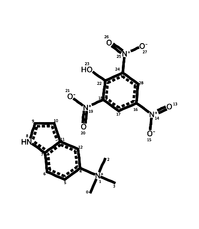 C[N+](C)(C)c1ccc2[nH]ccc2c1.O=[N+]([O-])c1cc([N+](=O)[O-])c(O)c([N+](=O)[O-])c1